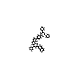 c1ccc(-c2cc(-c3ccccn3)nc(-c3ccc(-c4ccc5ccc6c(-c7ccccc7)cc(-c7ccc8ccccc8c7)nc6c5n4)cc3)n2)cc1